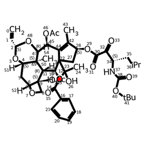 C=C[C@H]1O[C@H]2C[C@H]3OC[C@@]3(OC(C)=O)[C@H]3[C@H](OC(=O)c4ccccc4)C4(C(C)(C)O)C[C@H](OC(=O)C(=O)[C@H](CC(C)C)NC(=O)OC(C)(C)C)C(C)=C4[C@H](OC(C)=O)[C@H](O1)[C@]23C